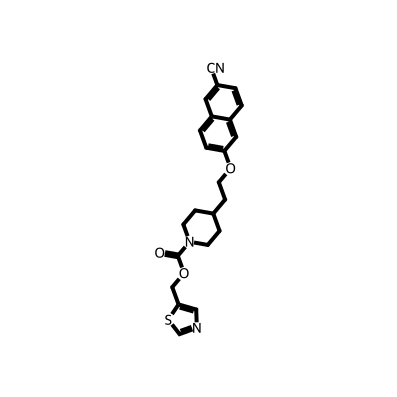 N#Cc1ccc2cc(OCCC3CCN(C(=O)OCc4cncs4)CC3)ccc2c1